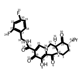 CC(C)[C@@H]1CCN2C(=O)c3c(O)c(=O)c(C(=O)NCc4ccc(F)cc4F)cn3C[C@H]2C1=O